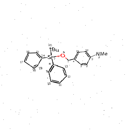 CNc1ccc(CO[Si](c2ccccc2)(c2ccccc2)C(C)(C)C)cc1